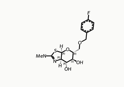 CNC1=N[C@@H]2[C@@H](O)[C@H](O)[C@@H](COCc3ccc(F)cc3)O[C@@H]2S1